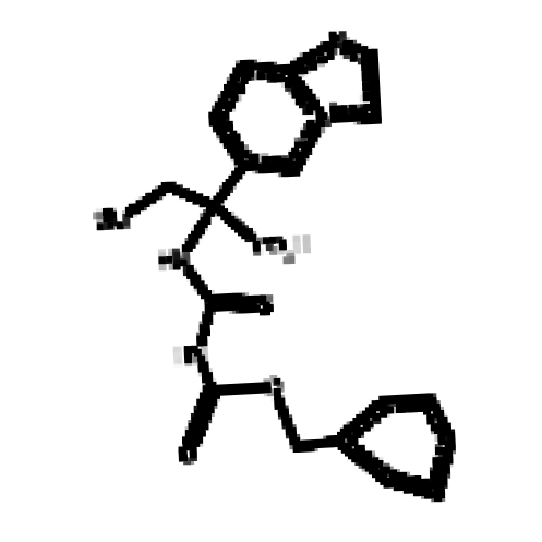 CC(C)(C)CC(NC(=S)NC(=O)OCc1ccccc1)(C(=O)O)c1ccc2nccn2c1